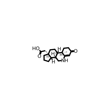 C[C@]12CCC(=O)C=C1NC[C@H]1[C@@H]3CCC[C@@]3(CC(=O)O)CC[C@@H]12